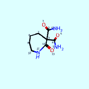 NC(=O)C1(C(N)=O)CCCCNC1=O